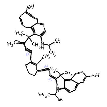 C=C(/C=C/C1=C(C)C(=C/C=C2/N(C(C)S)c3ccc4cc(S)ccc4c3C2(C)C)/CCC1)C(C)(C)c1c(NC(C)S)ccc2cc(S)ccc12